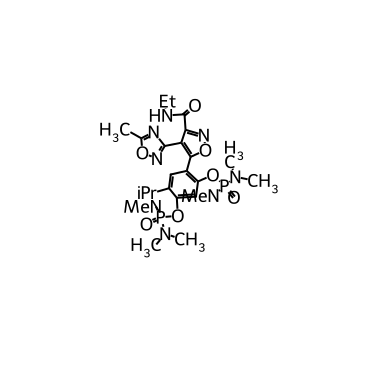 CCNC(=O)c1noc(-c2cc(C(C)C)c(OP(=O)(NC)N(C)C)cc2OP(=O)(NC)N(C)C)c1-c1noc(C)n1